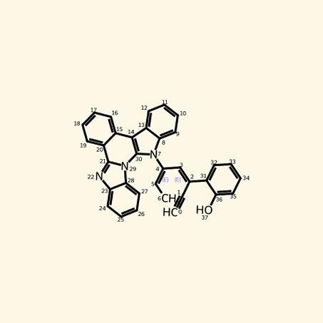 C#C/C(=C\C(=C/C)n1c2ccccc2c2c3ccccc3c3nc4ccccc4n3c21)c1ccccc1O